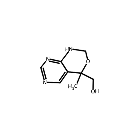 CC1(CO)OCNc2ncncc21